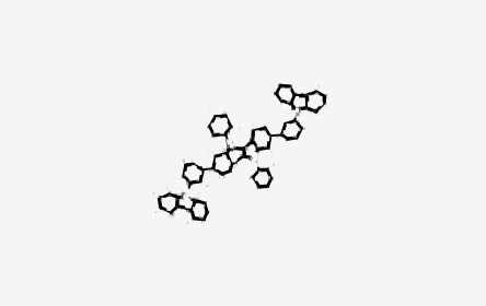 c1ccc(-n2c3cc(-c4cccc(-n5c6ccccc6c6ccccc65)c4)ccc3c3c2c2ccc(-c4cccc(-n5c6ccccc6c6ccccc65)c4)cc2n3-c2ccccc2)cc1